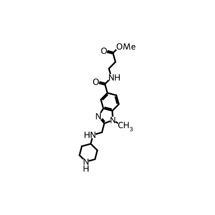 COC(=O)CCNC(=O)c1ccc2c(c1)nc(CNC1CCNCC1)n2C